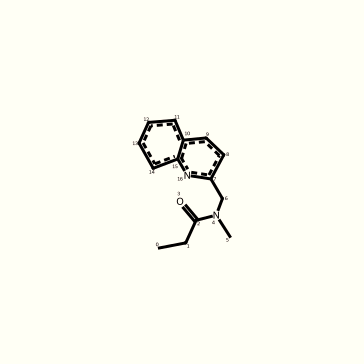 CCC(=O)N(C)Cc1ccc2ccccc2n1